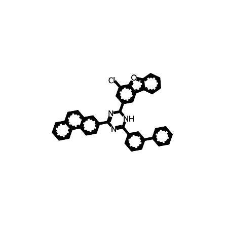 Clc1cc(C2N=C(c3ccc4c(ccc5ccccc54)c3)N=C(c3cccc(-c4ccccc4)c3)N2)cc2c1oc1ccccc12